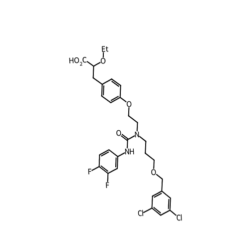 CCOC(Cc1ccc(OCCN(CCCOCc2cc(Cl)cc(Cl)c2)C(=O)Nc2ccc(F)c(F)c2)cc1)C(=O)O